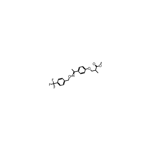 COC(=O)C(C)COc1ccc(C(C)=NOCc2ccc(C(F)(F)F)cc2)cc1